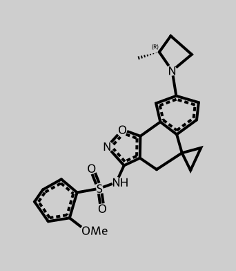 COc1ccccc1S(=O)(=O)Nc1noc2c1CC1(CC1)c1ccc(N3CC[C@H]3C)cc1-2